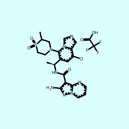 CC1CN(c2c([C@H](C)NC(=O)c3c(N)nn4cccnc34)cc(Cl)c3cncn23)CCS1(=O)=O.O=C(O)C(F)(F)F